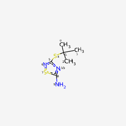 CC(C)(C)Sc1nsc(N)n1